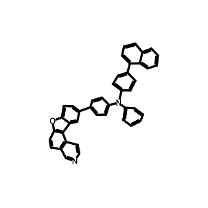 c1ccc(N(c2ccc(-c3ccc4oc5ccc6cnccc6c5c4c3)cc2)c2ccc(-c3cccc4ccccc34)cc2)cc1